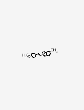 COc1ccc(C=Cc2cc3ccc(C)cc3o2)cc1